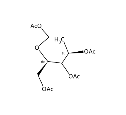 CC(=O)OCO[C@H](COC(C)=O)C(OC(C)=O)[C@@H](C)OC(C)=O